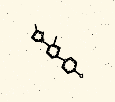 Cc1ccn(-c2ccc(-c3ccc(Cl)cc3)cc2C)n1